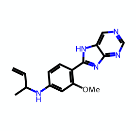 C=CC(C)Nc1ccc(-c2nc3ncncc3[nH]2)c(OC)c1